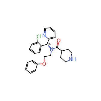 O=C(C1CCNCC1)N(CCOc1ccccc1)[C@H](c1ccccn1)c1ccccc1Cl